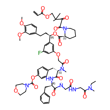 C=CC(=O)OCC(C)(C)C(=O)C(=O)N1CCCC[C@H]1C(=O)O[C@H](CCc1ccc(OC)c(OC)c1)c1cc(F)cc(OCC(=O)N(C)[C@@H](Cc2ccc(OC(=O)N3CCOCC3)cc2)C(=O)N[C@H](Cc2ccccc2)C(=O)N(C)CC(=O)NCC(=O)N(C)CC)c1